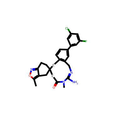 Cc1onc2c1CC1(CC2)CC(=O)N(C)/C(N)=N\Cc2cc(-c3cc(F)cc(Cl)c3)ccc2C1